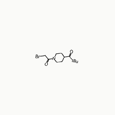 CC(C)(C)C(=O)C1CCN(C(=O)CBr)CC1